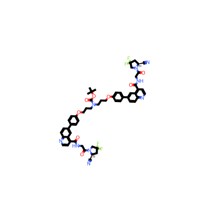 CC(C)(C)OC(=O)N(CCCOc1ccc(-c2ccc3nccc(C(=O)NCC(=O)N4CC(F)(F)C[C@H]4C#N)c3c2)cc1)CCCOc1ccc(-c2ccc3nccc(C(=O)NCC(=O)N4CC(F)(F)C[C@H]4C#N)c3c2)cc1